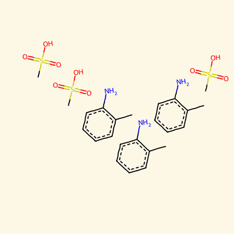 CS(=O)(=O)O.CS(=O)(=O)O.CS(=O)(=O)O.Cc1ccccc1N.Cc1ccccc1N.Cc1ccccc1N